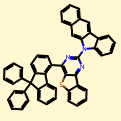 c1ccc(C2(c3ccccc3)c3ccccc3-c3c(-c4nc(-n5c6ccccc6c6cc7ccccc7cc65)nc5c4sc4ccccc45)cccc32)cc1